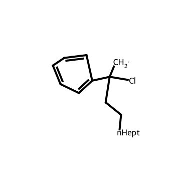 [CH2]C(Cl)(CCCCCCCCC)c1ccccc1